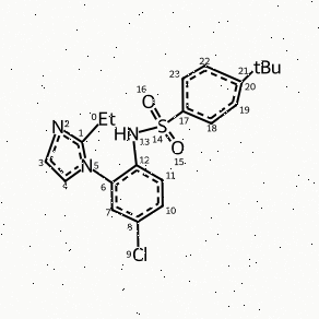 CCc1nccn1-c1cc(Cl)ccc1NS(=O)(=O)c1ccc(C(C)(C)C)cc1